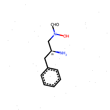 N[C@@H](Cc1ccccc1)CN(O)C=O